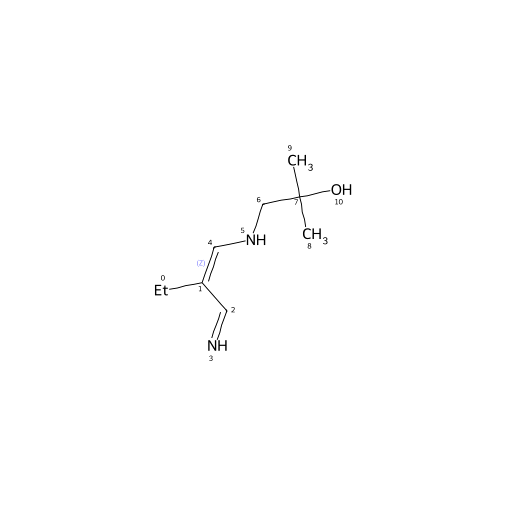 CC/C(C=N)=C/NCC(C)(C)O